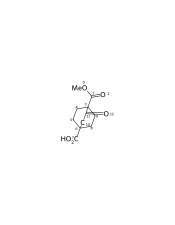 COC(=O)C12CCC(C(=O)O)(CC1)CC2=O